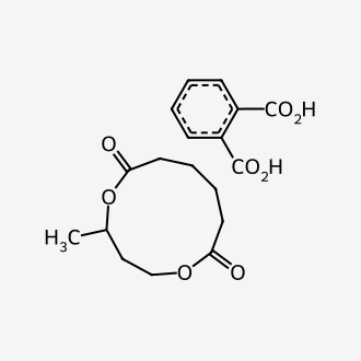 CC1CCOC(=O)CCCCC(=O)O1.O=C(O)c1ccccc1C(=O)O